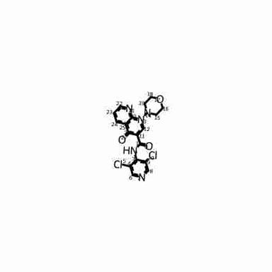 O=C(Nc1c(Cl)cncc1Cl)c1cn(N2CCOCC2)c2ncccc2c1=O